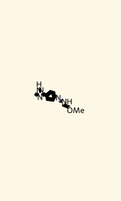 COCCN/C=N/c1ccc(-c2nc[nH]n2)cc1